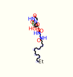 CC/C=C\C/C=C\C/C=C\C/C=C\C/C=C\C/C=C\CCC(=O)NCCNC(=O)OC[C@H]1O[C@@H](n2ccc(=O)[nH]c2=O)[C@](C)(F)[C@@H]1O